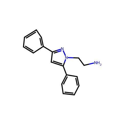 NCCn1nc(-c2ccccc2)cc1-c1ccccc1